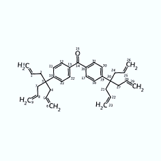 C=CCC(CC=C)(CC=C)c1ccc(C(=O)c2ccc(C(CC=C)(CC=C)CC=C)cc2)cc1